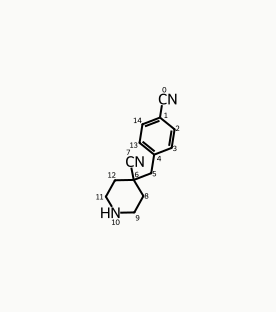 N#Cc1ccc(CC2(C#N)CCNCC2)cc1